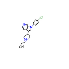 N#CCCN1CCC(c2cn(-c3ccc(Cl)cc3)c3cnccc23)CC1